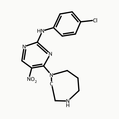 O=[N+]([O-])c1cnc(Nc2ccc(Cl)cc2)nc1N1CCCNCC1